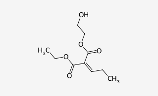 CC/C=C(/C(=O)OCC)C(=O)OCCO